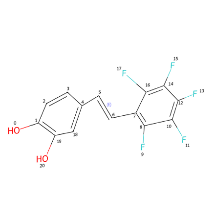 Oc1ccc(/C=C/c2c(F)c(F)c(F)c(F)c2F)cc1O